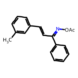 CC(=O)ON=C(C=Cc1cccc(C)c1)c1ccccc1